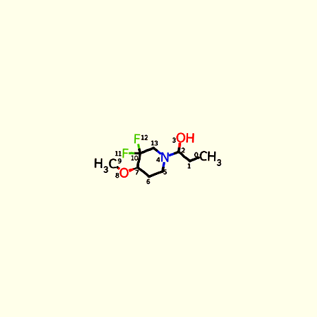 CCC(O)N1CC[C@@H](OC)C(F)(F)C1